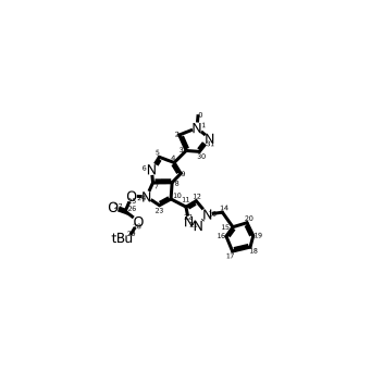 Cn1cc(-c2cnc3c(c2)c(-c2cn(Cc4ccccc4)nn2)cn3OC(=O)OC(C)(C)C)cn1